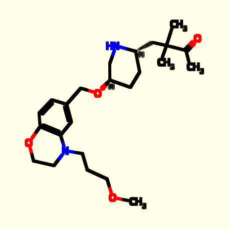 COCCCN1CCOc2ccc(CO[C@@H]3CC[C@@H](CC(C)(C)C(C)=O)NC3)cc21